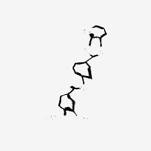 COc1ccc(C(=O)Nc2ccc(-c3nc4cccnc4[nH]3)cc2)cc1OC